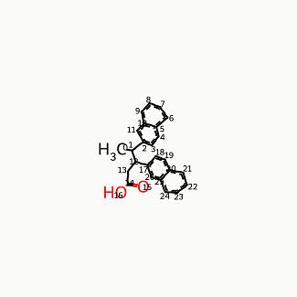 CC(c1ccc2ccccc2c1)C(CC(=O)O)c1ccc2ccccc2c1